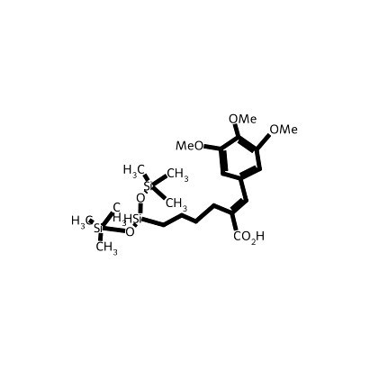 COc1cc(C=C(CCCC[SiH](O[Si](C)(C)C)O[Si](C)(C)C)C(=O)O)cc(OC)c1OC